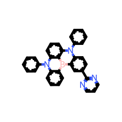 c1ccc(N2c3ccccc3B3c4cc(-c5ncccn5)ccc4N(c4ccccc4)c4cccc2c43)cc1